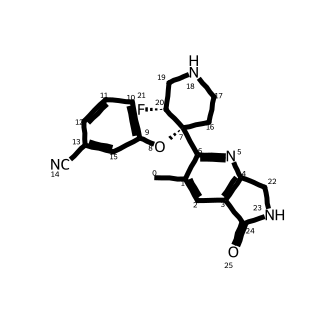 Cc1cc2c(nc1[C@]1(Oc3cccc(C#N)c3)CCNC[C@H]1F)CNC2=O